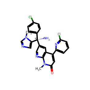 Cn1cncc1[C@@](N)(c1ccc(Cl)cc1)c1cnc2c(c1)c(-c1cccc(Cl)n1)cc(=O)n2C